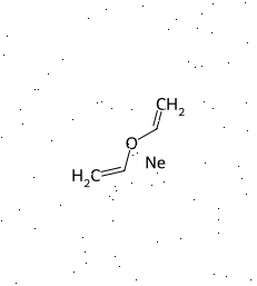 C=COC=C.[Ne]